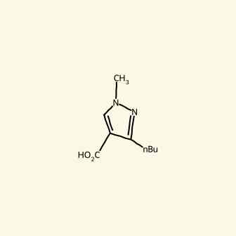 CCCCc1nn(C)cc1C(=O)O